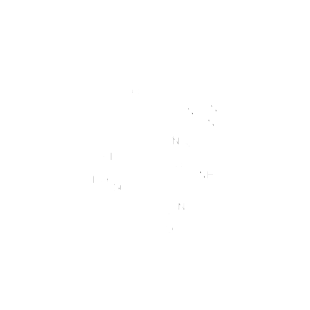 COc1ccc2c(c1)C(c1ccc(Cl)cc1)=N[C@@H](CC(=O)NC1CCN(C(=O)c3ccc([Si](C)(C)O)cc3)C1)c1nnc(C)n1-2